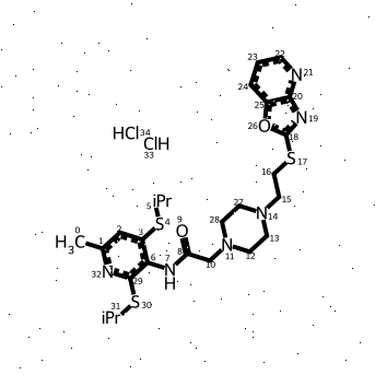 Cc1cc(SC(C)C)c(NC(=O)CN2CCN(CCSc3nc4ncccc4o3)CC2)c(SC(C)C)n1.Cl.Cl